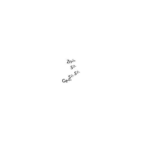 [Ge+4].[S-2].[S-2].[S-2].[Zn+2]